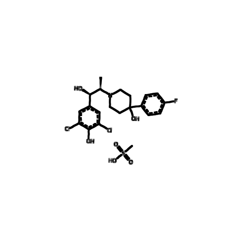 CS(=O)(=O)O.C[C@H]([C@H](O)c1cc(Cl)c(O)c(Cl)c1)N1CCC(O)(c2ccc(F)cc2)CC1